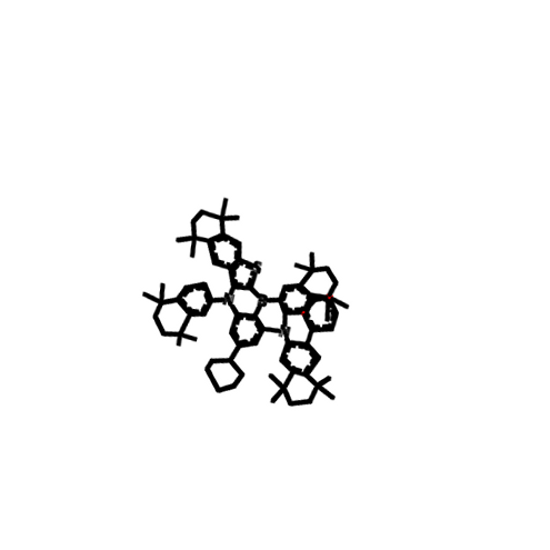 CC1(C)CCC(C)(C)c2cc(N3c4cc(C5CCCCC5)cc5c4B(c4cc6c(cc4N5c4cc5c(cc4-c4ccccc4)C(C)(C)CCC5(C)C)C(C)(C)CCC6(C)C)c4sc5cc6c(cc5c43)C(C)(C)CCC6(C)C)ccc21